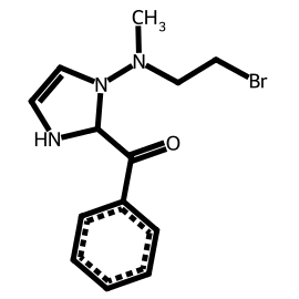 CN(CCBr)N1C=CNC1C(=O)c1ccccc1